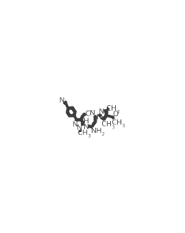 CC(=O)c1c(C)nn(-c2cc(N)[nH]c3c(ccn2)c(-c2ccc(C#N)cc2)nn3C)c1C